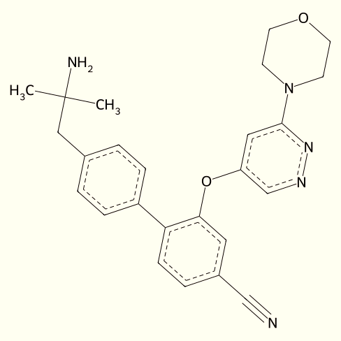 CC(C)(N)Cc1ccc(-c2ccc(C#N)cc2Oc2cnnc(N3CCOCC3)c2)cc1